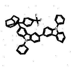 FC(F)(F)c1ccc(C2(c3ccc4c(c3)c3cc(-c5ccc6c(c5)c5ccccc5n6-c5ccccc5)ccc3n4-c3ccccc3)C3CC4CC(C3)CC2C4)cc1